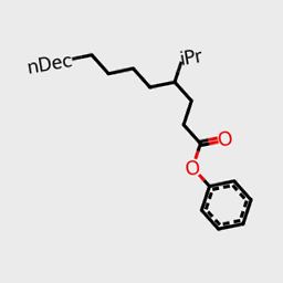 CCCCCCCCCCCCCCC(CCC(=O)Oc1ccccc1)C(C)C